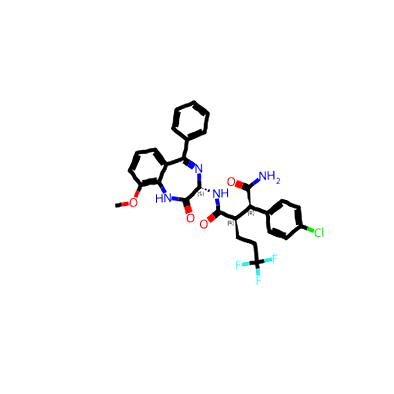 COc1cccc2c1NC(=O)[C@@H](NC(=O)[C@H](CCC(F)(F)F)[C@@H](C(N)=O)c1ccc(Cl)cc1)N=C2c1ccccc1